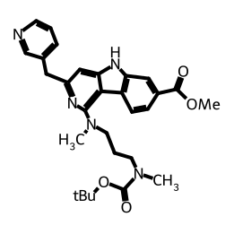 COC(=O)c1ccc2c(c1)[nH]c1cc(Cc3cccnc3)nc(N(C)CCCN(C)C(=O)OC(C)(C)C)c12